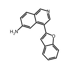 Nc1ccc2cncc(-c3cc4ccccc4o3)c2c1